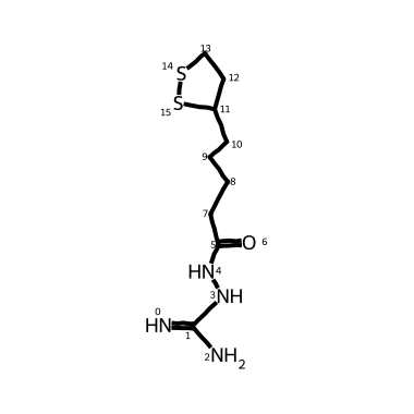 N=C(N)NNC(=O)CCCCC1CCSS1